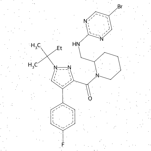 CCC(C)(C)n1cc(-c2ccc(F)cc2)c(C(=O)N2CCCCC2CNc2ncc(Br)cn2)n1